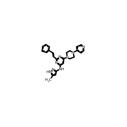 Cc1cc(Nc2cc(N3CCN(c4ccncc4)CC3)nc(C=Cc3ccccc3)n2)n[nH]1